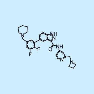 O=C(Nc1ccnc(CN2CCC2)c1)c1n[nH]c2ccc(-c3cc(CN4CCCCC4)cc(F)c3F)cc12